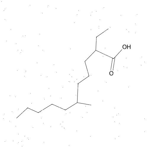 CCCCCC(C)CCCC(CC)C(=O)O